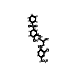 CC(=O)C(CNc1ccc(S(=O)(=O)O)cc1Cl)N=Nc1cc(S(=O)(=O)c2ccccc2)ccc1O